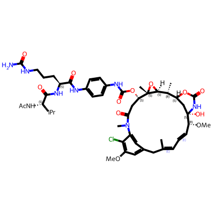 COc1cc2cc(c1Cl)N(C)C(=O)C[C@H](OC(=O)Nc1ccc(NC(=O)[C@H](CCCNC(N)=O)NC(=O)[C@@H](NC(C)=O)C(C)C)cc1)[C@]1(C)O[C@H]1[C@H](C)[C@@H]1C[C@@](O)(NC(=O)O1)[C@H](OC)/C=C/C=C(\C)C2